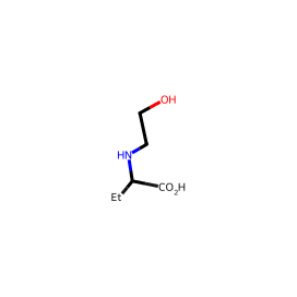 CCC(NCCO)C(=O)O